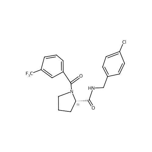 O=C(NCc1ccc(Cl)cc1)[C@@H]1CCCN1C(=O)c1cccc(C(F)(F)F)c1